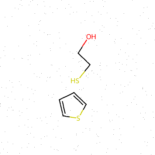 OCCS.c1ccsc1